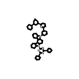 c1ccc(-c2cccc(-c3cccc(-c4cccc(-n5c6ccccc6c6c7c8ccccc8n(-c8nc(-c9ccccc9)nc(-c9ccccc9)n8)c7ccc65)c4)n3)c2)cc1